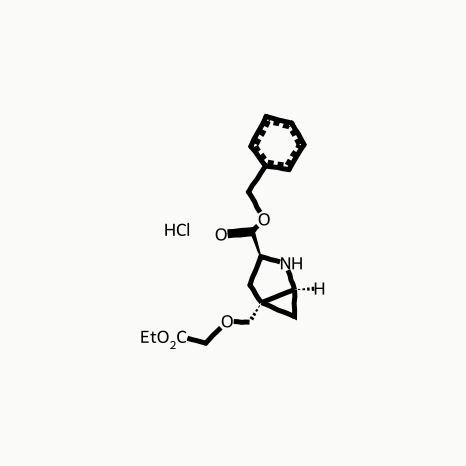 CCOC(=O)COC[C@]12C[C@@H](C(=O)OCc3ccccc3)N[C@H]1C2.Cl